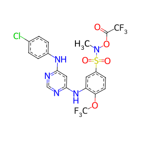 CN(OC(=O)C(F)(F)F)S(=O)(=O)c1ccc(OC(F)(F)F)c(Nc2cc(Nc3ccc(Cl)cc3)ncn2)c1